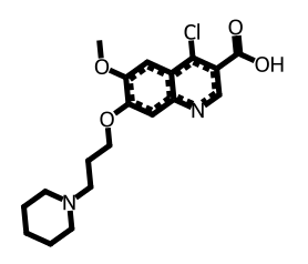 COc1cc2c(Cl)c(C(=O)O)cnc2cc1OCCCN1CCCCC1